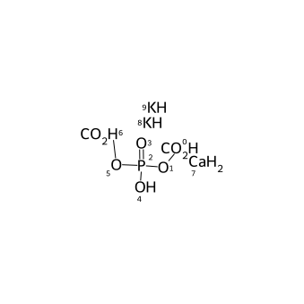 O=C(O)OP(=O)(O)OC(=O)O.[CaH2].[KH].[KH]